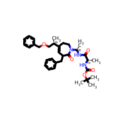 C[C@H](NC(=O)OC(C)(C)C)C(=O)N[C@@H](C)N1CCC([C@@H](C)COCc2ccccc2)=CC(Cc2ccccc2)C1=O